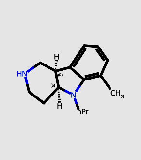 CCCN1c2c(C)cccc2[C@@H]2CNCC[C@@H]21